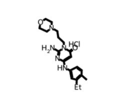 CCc1cc(Nc2cc(=O)n(CCCN3CCOCC3)c(N)n2)ccc1C.Cl